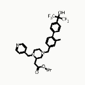 Cc1cc(CN2CCN(Cc3ccncc3)C(CC(=O)OC(C)C)C2)ccc1-c1ccc(C(O)(C(F)(F)F)C(F)(F)F)cc1